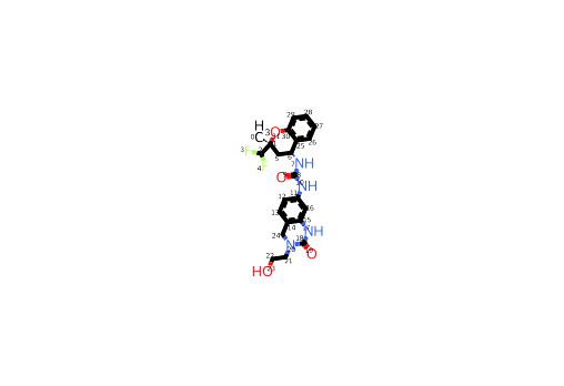 C[C@@]1(C(F)F)C[C@@H](NC(=O)Nc2ccc3c(c2)NC(=O)N(CCO)C3)c2ccccc2O1